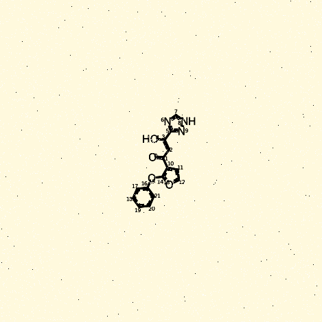 O=C(C=C(O)c1nc[nH]n1)c1ccoc1Oc1ccccc1